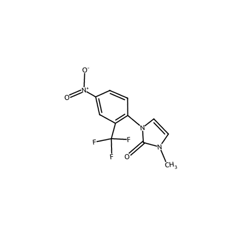 Cn1ccn(-c2ccc([N+](=O)[O-])cc2C(F)(F)F)c1=O